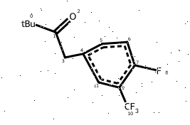 CC(C)(C)C(=O)Cc1ccc(F)c(C(F)(F)F)c1